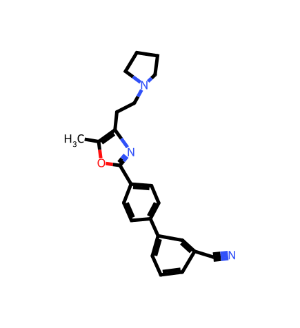 Cc1oc(-c2ccc(-c3cccc(C#N)c3)cc2)nc1CCN1CCCC1